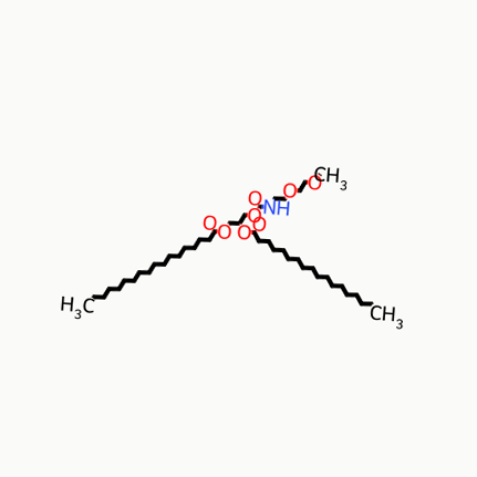 CCCCCCCCCCCCCCCCCC(=O)OCC(COC(=O)NCCOCCOC)OC(=O)CCCCCCCCCCCCCCCCC